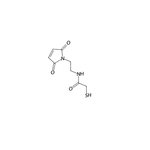 O=C(CS)NCCN1C(=O)C=CC1=O